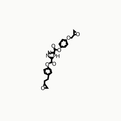 O=C(Oc1ccc(CCC2CO2)cc1)c1nnc(C(=O)Oc2ccc(OCC3CO3)cc2)[pH]1